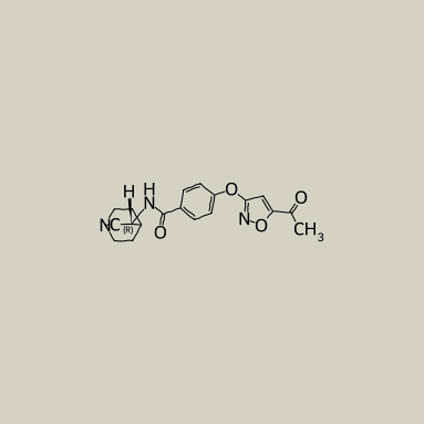 CC(=O)c1cc(Oc2ccc(C(=O)N[C@H]3CN4CCC3CC4)cc2)no1